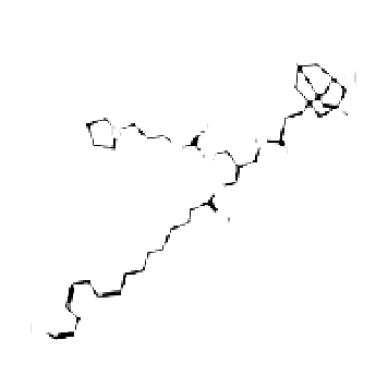 CC/C=C\C/C=C\C/C=C\CCCCCCCC(=O)OCC(COC(=O)CCC12C[C@H]3C[C@@H](C1)C[C@@H](C2)C3)COC(=O)OCCCN1CCCC1